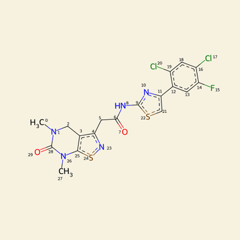 CN1Cc2c(CC(=O)Nc3nc(-c4cc(F)c(Cl)cc4Cl)cs3)nsc2N(C)C1=O